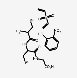 C=CS(=O)(=O)C=C.CC(C)CC(N)C(=O)NC(CC(C)C)C(=O)NCC(=O)O.O=[N+]([O-])c1ccccc1O